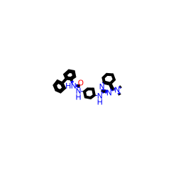 CN(C)c1nc(N[C@H]2CC[C@@H](NC(=O)Nc3ccccc3-c3ccccc3)CC2)nc2c1CCCC2